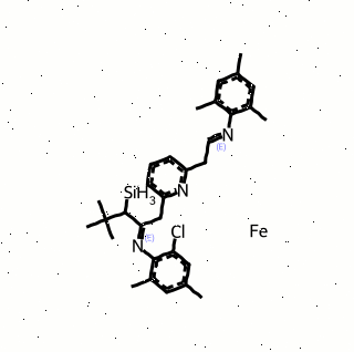 Cc1cc(C)c(/N=C/Cc2cccc(C/C(=N\c3c(C)cc(C)cc3Cl)C([SiH3])C(C)(C)C)n2)c(C)c1.[Fe]